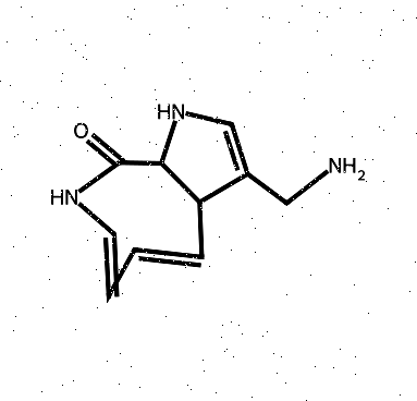 NCC1=CNC2C(=O)N/C=C/C=C/C12